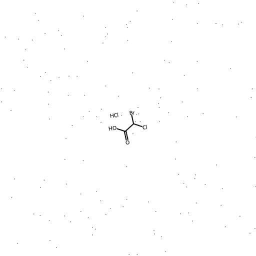 Cl.O=C(O)C(Cl)Br